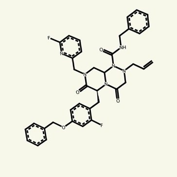 C=CCN1CC(=O)N2C(CN(Cc3cccc(F)n3)C(=O)[C@@H]2Cc2ccc(OCc3ccccc3)cc2F)N1C(=O)NCc1ccccc1